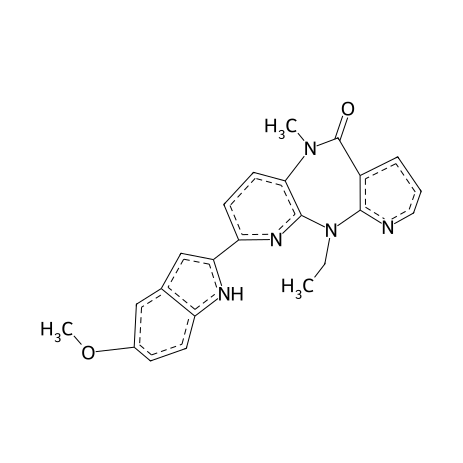 CCN1c2ncccc2C(=O)N(C)c2ccc(-c3cc4cc(OC)ccc4[nH]3)nc21